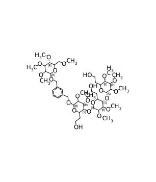 COCC1O[C@@H](OCc2cccc(CO[C@@H]3OC(CCO)[C@H](O[C@@H]4OC(CCO)[C@H](O[C@@H]5OC(CCO)[C@@H](OC)[C@@H](OC)C5OC)[C@@H](OC)C4OC)[C@@H](OC)C3OC)c2)C(OC)C(OC)[C@@H]1OC